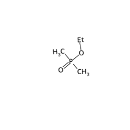 CCOP(C)(C)=O